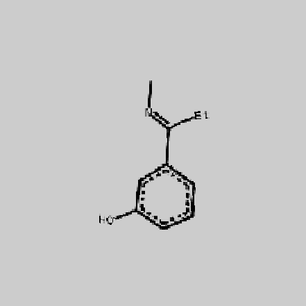 CCC(=NC)c1cccc(O)c1